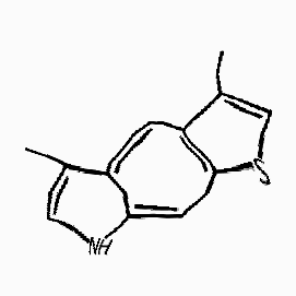 Cc1c[nH]c2cc3scc(C)c3cc12